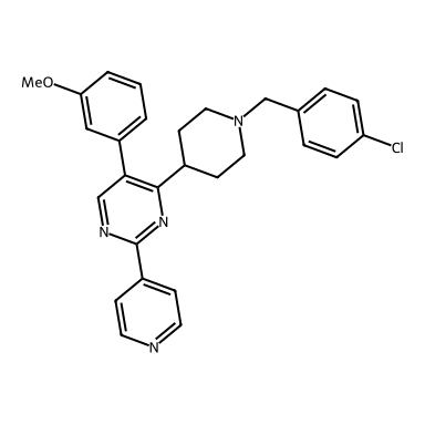 COc1cccc(-c2cnc(-c3ccncc3)nc2C2CCN(Cc3ccc(Cl)cc3)CC2)c1